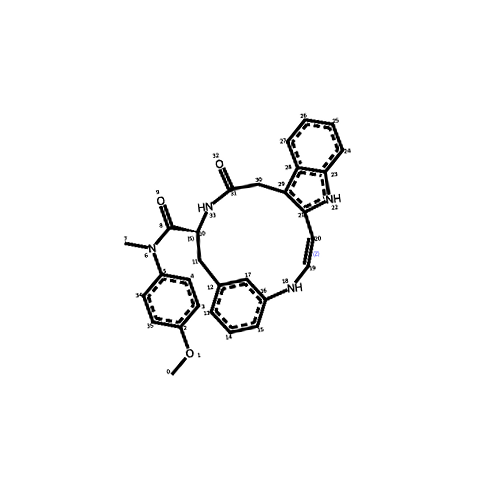 COc1ccc(N(C)C(=O)[C@@H]2Cc3cccc(c3)N/C=C\c3[nH]c4ccccc4c3CC(=O)N2)cc1